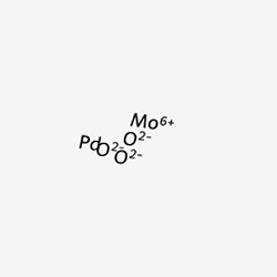 [Mo+6].[O-2].[O-2].[O-2].[Pd]